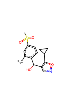 CS(=O)(=O)c1ccc(C(O)c2cnoc2C2CC2)c(C(F)(F)F)c1